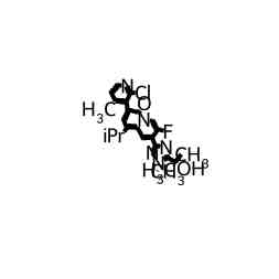 Cc1ccnc(Cl)c1-c1cc(C(C)C)c2cc(-c3nc(C(C)(C)O)n(C)n3)c(F)cn2c1=O